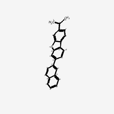 CC(C)c1ccc2c(c1)oc1cc(-c3ccc4ccccc4c3)ccc12